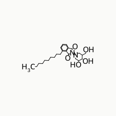 CCCCCCCCCCc1cccc2c1C(=O)N(N1CC(O)C(O)C(CO)C1)C2=O